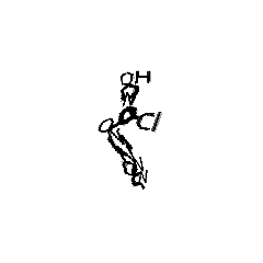 Cc1ccc2oc(N3CCN(C(=O)c4cc(Cl)cc(N5CCC(O)CC5)c4)CC3)nc2n1